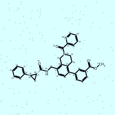 COC(=O)c1cccc(-c2ccc(CNC(=O)[C@@H]3C[C@H]3c3ccccc3)c3c2CCN(C(=O)c2ccccn2)C3)c1